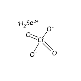 [O]=[Cr](=[O])([O-])[O-].[SeH2+2]